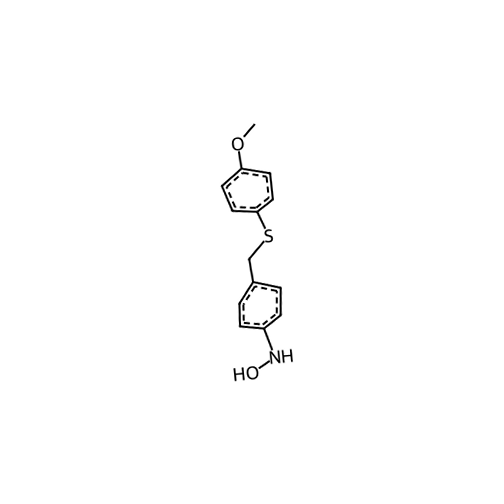 COc1ccc(SCc2ccc(NO)cc2)cc1